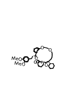 COc1ccc(CC[C@H]2OC(=O)[C@@H]3CCCCN3C(=O)[C@@H](C3CCCCC3)CCCCOCCOc3cccc2c3)cc1OC